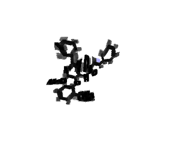 COc1ccccc1Oc1c(NS(=O)(=O)/C=C/c2ccccc2)nc(-c2cccnc2)nc1OC